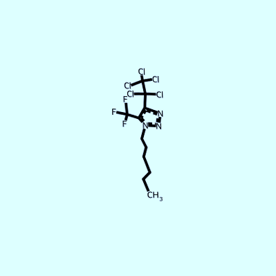 CCCCCCn1nnc(C(Cl)(Cl)C(Cl)(Cl)Cl)c1C(F)(F)F